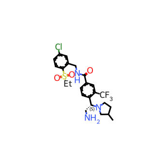 CCS(=O)(=O)c1ccc(Cl)cc1CNC(=O)c1ccc([C@@H](CN)N2CCC(C)C2)c(C(F)(F)F)c1